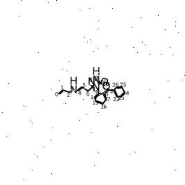 C=CCNC=CCc1n[nH]c(=O)n1-c1ccccc1C(=O)c1ccccc1